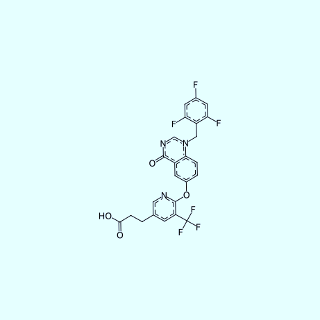 O=C(O)CCc1cnc(Oc2ccc3c(c2)c(=O)ncn3Cc2c(F)cc(F)cc2F)c(C(F)(F)F)c1